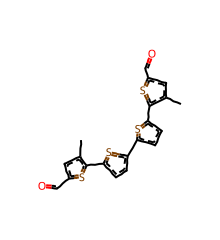 Cc1cc(C=O)sc1-c1ccc(-c2ccc(-c3sc(C=O)cc3C)s2)s1